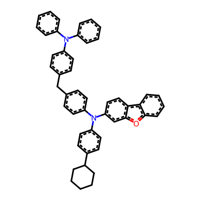 c1ccc(N(c2ccccc2)c2ccc(Cc3ccc(N(c4ccc(C5CCCCC5)cc4)c4ccc5c(c4)oc4ccccc45)cc3)cc2)cc1